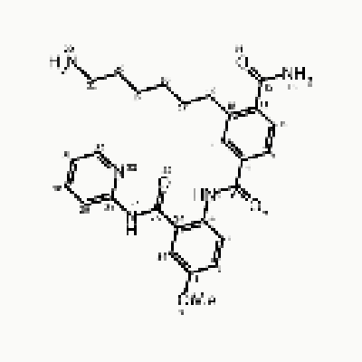 COc1ccc(NC(=O)c2ccc(C(N)=O)c(CCCCCCN)c2)c(C(=O)Nc2ccccn2)c1